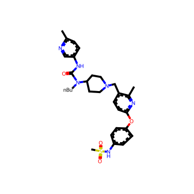 CCCCN(C(=O)Nc1ccc(C)nc1)C1CCN(Cc2ccc(Oc3ccc(NS(C)(=O)=O)cc3)nc2C)CC1